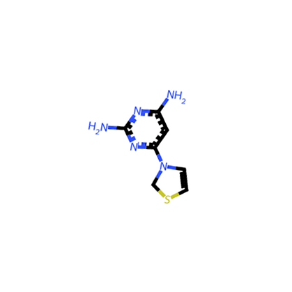 Nc1cc(N2C=CSC2)nc(N)n1